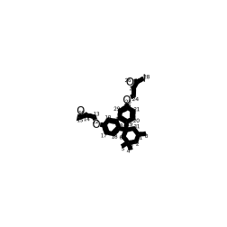 CC1CC(C)(C)CC(c2ccc(OCC3CO3)cc2)(c2ccc(OCC3OC3I)cc2)C1